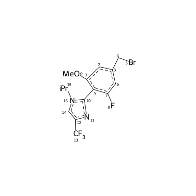 COc1cc(CBr)cc(F)c1-c1nc(C(F)(F)F)cn1C(C)C